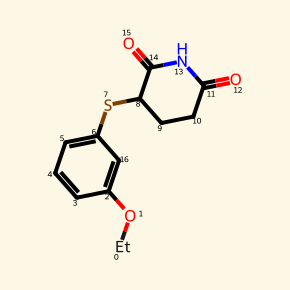 CCOc1cccc(SC2CCC(=O)NC2=O)c1